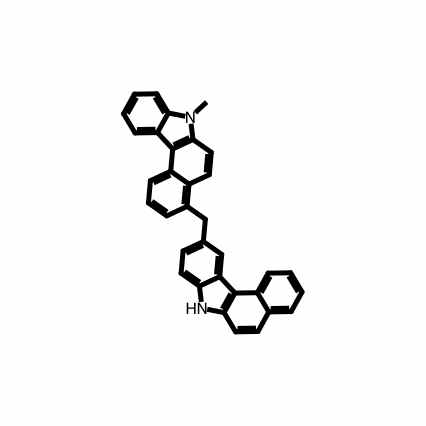 Cn1c2ccccc2c2c3cccc(Cc4ccc5[nH]c6ccc7ccccc7c6c5c4)c3ccc21